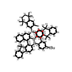 Cc1cc2c(cc1N1c3cc4c(cc3B3c5c1cc1ccccc1c5-c1c(ccc5c1C(C)(C)c1ccccc1-5)N3c1ccc(C(C)(C)C)cc1-c1ccccc1)C(C)(C)c1ccccc1C4(C)C)C(C)(C)CCC2(C)C